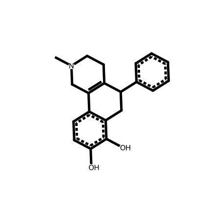 CN1CCC2=C(C1)c1ccc(O)c(O)c1CC2c1ccccc1